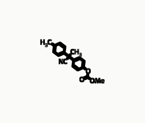 COC(=O)Oc1ccc(C(C)(C#N)c2ccc(C)cc2)cc1